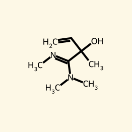 C=CC(C)(O)C(=NC)N(C)C